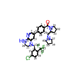 O=C(c1ccc(-c2cnc3c(c2)N(Cc2cc(Cl)ccc2C(F)(F)F)CCN3)cc1)N1CCCC1CN1CCCC1